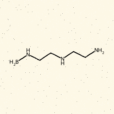 BNCCNCCN